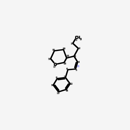 CCC[C](/C=C\Cc1ccccc1)C1CCCOC1